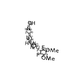 COc1cc(OC)c(F)c(COc2cnc(Nc3ccc(C4CCN(CCO)CC4)nc3)nc2)c1F